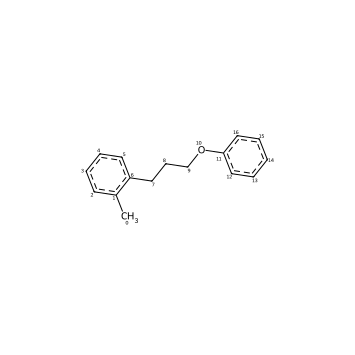 Cc1ccccc1CCCOc1ccccc1